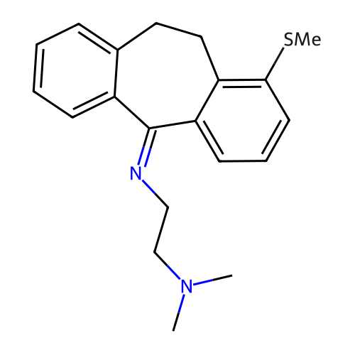 CSc1cccc2c1CCc1ccccc1/C2=N/CCN(C)C